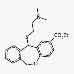 CCOC(=O)c1ccc2c(c1)C(SCCN(C)C)c1ccccc1CO2